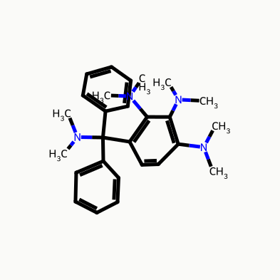 CN(C)c1ccc(C(c2ccccc2)(c2ccccc2)N(C)C)c(N(C)C)c1N(C)C